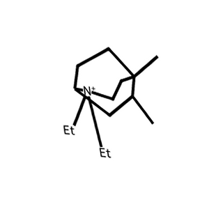 CC[N+]1(CC)CCC2(C)CCC1CC2C